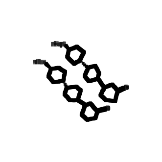 CCCCCCC[C@H]1CC[C@H](C2CCC(C3CCCC(=O)C3)CC2)CC1.CCCCCC[C@H]1CC[C@H](C2CCC(C3CCCC(=O)C3)CC2)CC1